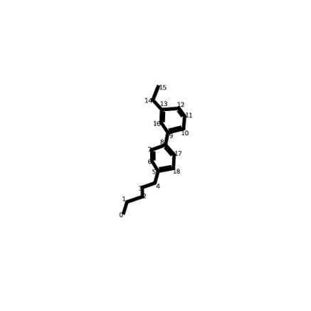 CCCCCc1ccc(-c2cccc(CC)c2)cc1